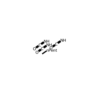 CCCCCC.N=C=O.N=C=O.N=C=O